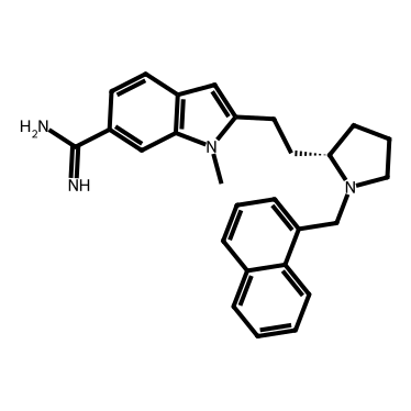 Cn1c(CC[C@@H]2CCCN2Cc2cccc3ccccc23)cc2ccc(C(=N)N)cc21